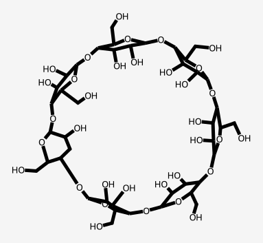 OCC1OC2OC3C(CO)OC(OC4C(CO)OC(OC5C(CO)OC(OC6C(CO)OC(OC7C(CO)OC(OC8C(CO)OC(OC1CC2O)C(O)C8O)C(O)C7O)C(O)C6O)C(O)C5O)C(O)C4O)C(O)C3O